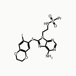 CC(C)S(=O)(=O)NCCn1c(Sc2cc3c(cc2I)OCCO3)nc2c(N)ncnc21